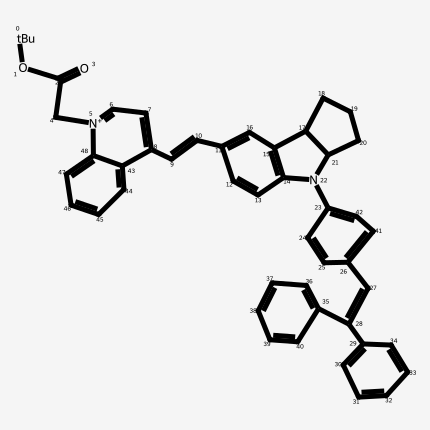 CC(C)(C)OC(=O)C[n+]1ccc(/C=C/c2ccc3c(c2)C2CCCC2N3c2ccc(C=C(c3ccccc3)c3ccccc3)cc2)c2ccccc21